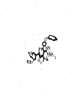 N=C(N)c1c(N)cc(-c2cncc(Br)c2)nc1-c1ccc(Oc2ccccc2)cc1